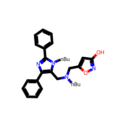 CCCCN(Cc1cc(O)no1)Cc1c(-c2ccccc2)nc(-c2ccccc2)n1CCCC